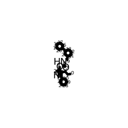 CCCc1c(OC(=O)NCc2cccc(-c3ccccc3)c2)cnn1-c1ccccc1